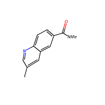 [CH2]c1cnc2ccc(C(=O)NC)cc2c1